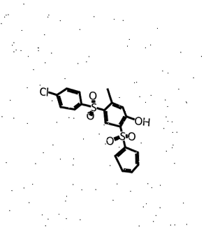 Cc1cc(O)c(S(=O)(=O)c2ccccc2)cc1S(=O)(=O)c1ccc(Cl)cc1